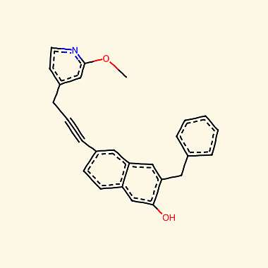 COc1cc(CC#Cc2ccc3cc(O)c(Cc4ccccc4)cc3c2)ccn1